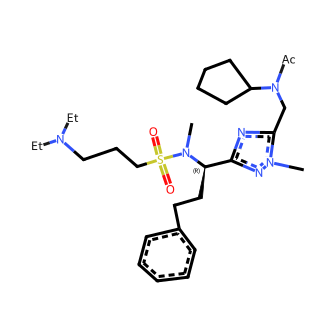 CCN(CC)CCCS(=O)(=O)N(C)[C@H](CCc1ccccc1)c1nc(CN(C(C)=O)C2CCCC2)n(C)n1